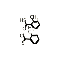 Cc1ccccc1C(=O)S.Cc1ccccc1C(=S)Cl